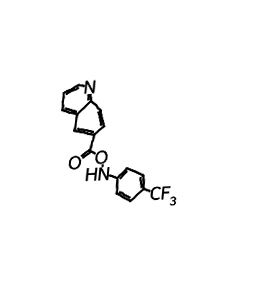 O=C(ONc1ccc(C(F)(F)F)cc1)c1ccc2ncccc2c1